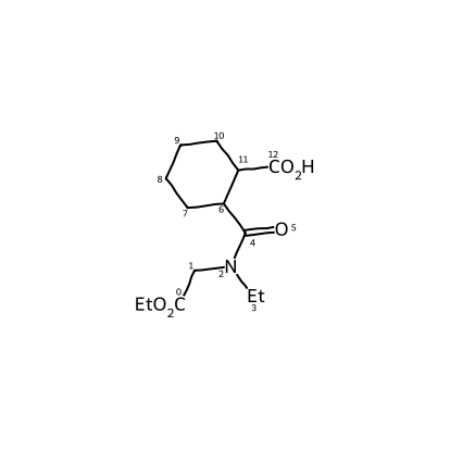 CCOC(=O)CN(CC)C(=O)C1CCCCC1C(=O)O